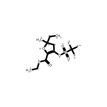 CCOC(=O)C1=C(OS(=O)(=O)C(F)(F)F)CC(C)(CC)O1